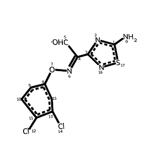 Nc1nc(/C([C]=O)=N/Oc2ccc(Cl)c(Cl)c2)ns1